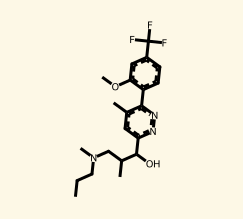 CCCN(C)CC(C)C(O)c1cc(C)c(-c2ccc(C(F)(F)F)cc2OC)nn1